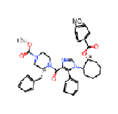 CC(C)(C)OC(=O)N1CCN(C(=O)c2ncn(C3CCCCC[C@H]3OC(=O)c3ccc([N+](=O)[O-])cc3)c2-c2ccccc2)[C@H](Cc2ccccc2)C1